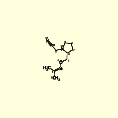 CC(C)=NOC[C@H]1CCCN1CC#N